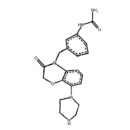 NC(=O)Nc1cccc(CN2C(=O)COc3c(N4CCNCC4)cccc32)c1